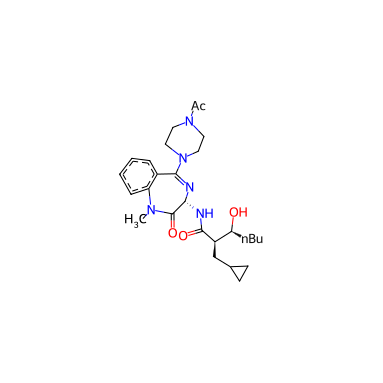 CCCC[C@H](O)[C@@H](CC1CC1)C(=O)N[C@H]1N=C(N2CCN(C(C)=O)CC2)c2ccccc2N(C)C1=O